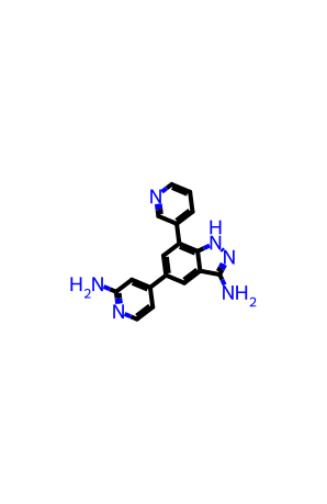 Nc1cc(-c2cc(-c3cccnc3)c3[nH]nc(N)c3c2)ccn1